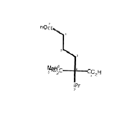 CCCCCCCCCCCC(C(=O)O)(C(=O)O)C(C)C.[NaH]